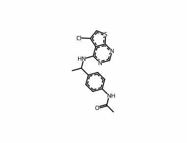 CC(=O)Nc1ccc(C(C)Nc2ncnc3scc(Cl)c23)cc1